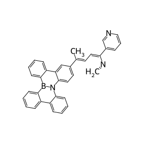 C=N/C(=C\C=C(/C)c1ccc2c(c1)-c1ccccc1B1c3ccccc3-c3ccccc3N12)c1cccnc1